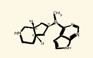 CN(c1ncnc2[nH]ccc12)[C@@H]1C[C@H]2CNCC[C@H]2C1